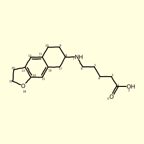 O=C(O)CCCCNC1CCc2cc3c(cc2C1)OCC3